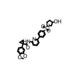 O=C(Nc1cccc(-c2ccc(S(=O)(=O)N3CCC(O)C3)cc2)n1)C1(c2ccc3c(c2)OCO3)CC1